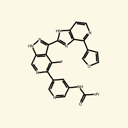 CCCC(=O)Nc1cncc(-c2ncc3[nH]nc(-c4nc5c(-c6ccoc6)nccc5[nH]4)c3c2F)c1